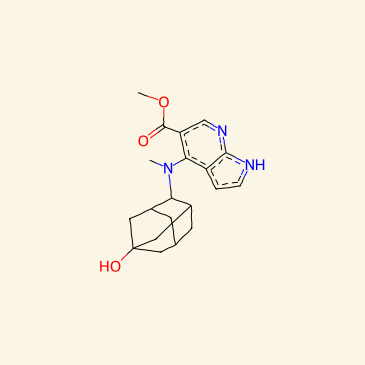 COC(=O)c1cnc2[nH]ccc2c1N(C)C1C2CC3CC1CC(O)(C3)C2